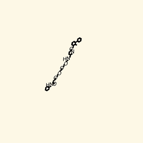 Cc1c(COc2ccc(CNCCOCCOCCOCCOCCC(=O)NCc3ccccc3)cn2)cccc1-c1ccccc1